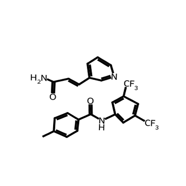 Cc1ccc(C(=O)Nc2cc(C(F)(F)F)cc(C(F)(F)F)c2)cc1.NC(=O)C=Cc1cccnc1